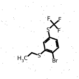 CCSc1cc(SC(F)(F)F)ccc1Br